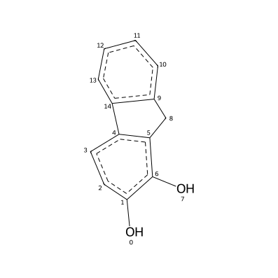 Oc1ccc2c(c1O)Cc1ccccc1-2